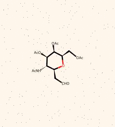 CC(=O)N[C@@H]1[C@@H](OC(C)=O)[C@@H](OC(C)=O)[C@@H](COC(C)=O)O[C@H]1CC=O